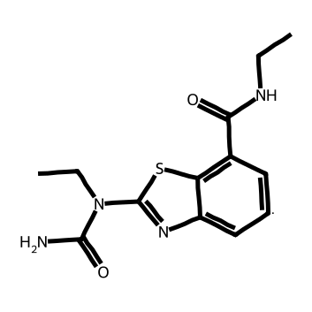 CCNC(=O)c1c[c]cc2nc(N(CC)C(N)=O)sc12